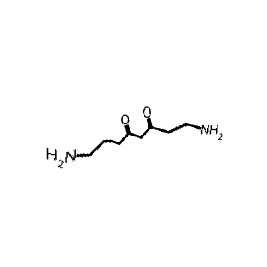 NCCCC(=O)CC(=O)CCN